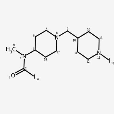 CN(C(=O)I)C1CCN(CC2CCN(I)CC2)CC1